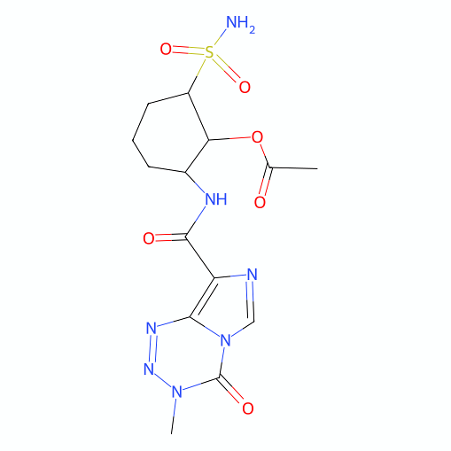 CC(=O)OC1C(NC(=O)c2ncn3c(=O)n(C)nnc23)CCCC1S(N)(=O)=O